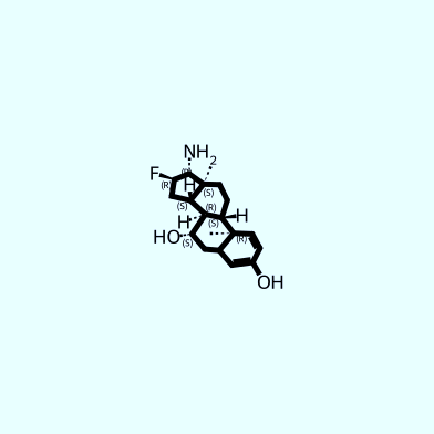 C[C@]12CC[C@H]3[C@@H]([C@@H](O)CC4C=C(O)C=C[C@@]43C)[C@@H]1C[C@@H](F)[C@@H]2N